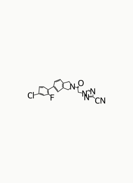 N#Cc1ncn(CC(=O)N2Cc3ccc(-c4ccc(Cl)cc4F)cc3C2)n1